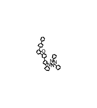 c1ccc(-c2ccc(-c3cccc4c3oc3ccc(-c5ccc6c7ccccc7n(-c7nc(-c8ccccc8)nc(-c8ccccc8)n7)c6c5)cc34)cc2)cc1